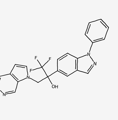 OC(Cn1ccc2ccncc21)(c1ccc2c(cnn2-c2ccccc2)c1)C(F)(F)F